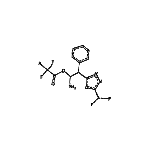 NC(OC(=O)C(F)(F)F)C(c1ccccc1)c1nnc(C(F)F)o1